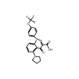 O=C(O)c1nn(-c2ccc(OC(F)(F)F)cc2)c2cccc(N3CCCC3)c2c1=O